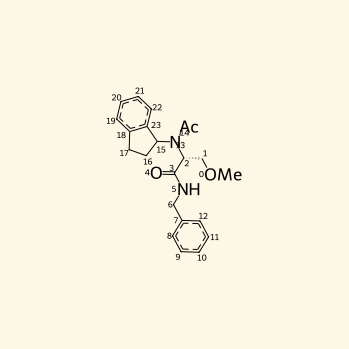 COC[C@H](C(=O)NCc1ccccc1)N(C(C)=O)C1CCc2ccccc21